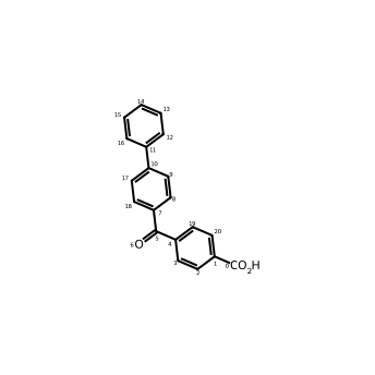 O=C(O)c1ccc(C(=O)c2ccc(-c3ccccc3)cc2)cc1